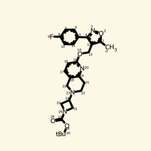 Cc1onc(-c2ccc(F)cc2)c1COc1ccc2c(n1)CCN(C1CN(C(=O)OC(C)(C)C)C1)C2